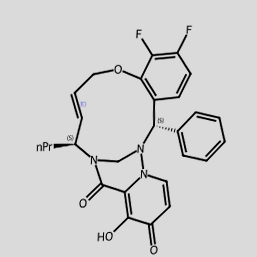 CCC[C@H]1/C=C/COc2c(ccc(F)c2F)[C@H](c2ccccc2)N2CN1C(=O)c1c(O)c(=O)ccn12